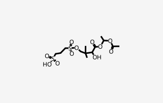 CC(=O)OC(C)OC(=O)C(O)C(C)(C)COS(=O)(=O)CCCS(=O)(=O)O